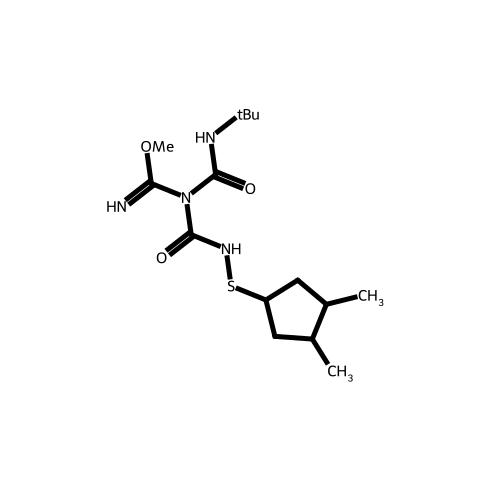 COC(=N)N(C(=O)NSC1CC(C)C(C)C1)C(=O)NC(C)(C)C